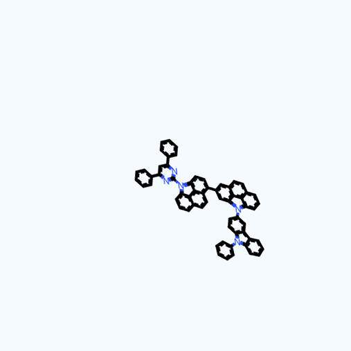 c1ccc(-c2cc(-c3ccccc3)nc(-n3c4cccc5ccc6c(-c7cc8ccc9cccc%10c9c8c(c7)n%10-c7ccc8c(c7)c7ccccc7n8-c7ccccc7)ccc3c6c54)n2)cc1